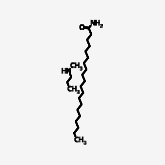 CCCCCCCCCCCCCCCCCCCC(N)=O.CCCNC